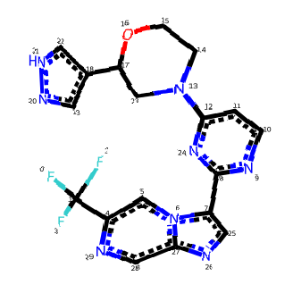 FC(F)(F)c1cn2c(-c3nccc(N4CCOC(c5cn[nH]c5)C4)n3)cnc2cn1